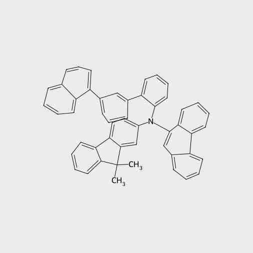 CC1(C)c2ccccc2-c2ccc(N(c3ccccc3-c3cccc(-c4cccc5ccccc45)c3)c3cc4ccccc4c4ccccc34)cc21